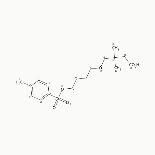 Cc1ccc(S(=O)(=O)OCCCCOCC(C)(C)CC(=O)O)cc1